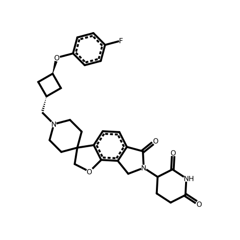 O=C1CCC(N2Cc3c(ccc4c3OCC43CCN(C[C@H]4C[C@H](Oc5ccc(F)cc5)C4)CC3)C2=O)C(=O)N1